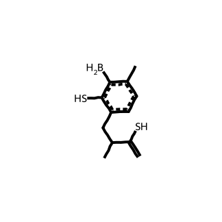 Bc1c(C)ccc(CC(C)C(=C)S)c1S